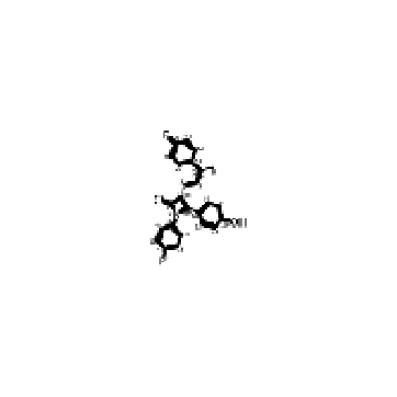 C[C@@H](CC[C@H]1C(=O)N(c2ccc(F)cc2)[C@@H]1c1ccc(O)cc1)c1ccc(F)cc1